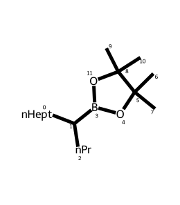 CCCCCCCC(CCC)B1OC(C)(C)C(C)(C)O1